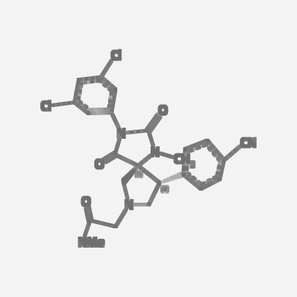 CNC(=O)CN1C[C@@H](c2ccc(C#N)cc2)[C@]2(C1)C(=O)N(c1cc(Cl)cc(Cl)c1)C(=O)N2C